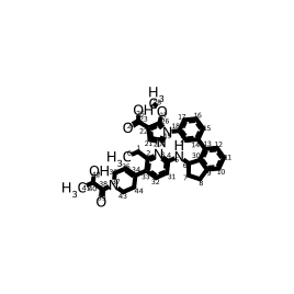 CCc1nc(NC2CCc3cccc(-c4cccc(-n5ncc(C(=O)O)c5OC)c4)c32)ccc1C1=CCN(C(=O)C(C)O)CC1